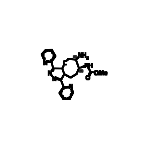 COC(=O)N[C@H]1CCC2C(c3ccccn3)=NN=C(c3ccccn3)C2CC[C@H]1N